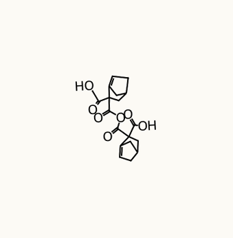 O=C(O)C1(C(=O)OC(=O)C2(C(=O)O)CC3CC=C2C3)CC2CC=C1C2